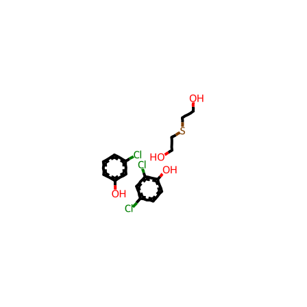 OCCSCCO.Oc1ccc(Cl)cc1Cl.Oc1cccc(Cl)c1